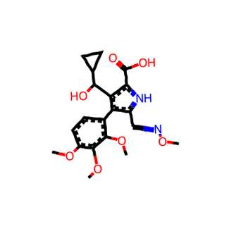 CO/N=C/c1[nH]c(C(=O)O)c(C(O)C2CC2)c1-c1ccc(OC)c(OC)c1OC